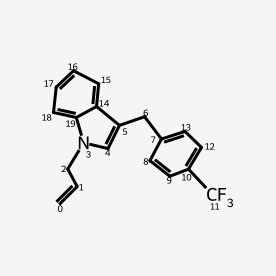 C=CCn1cc(Cc2ccc(C(F)(F)F)cc2)c2ccccc21